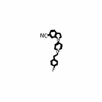 N#Cc1ccc2c(c1)N(C1=CCN(CCc3ccc(F)cc3)C=C1)CC2